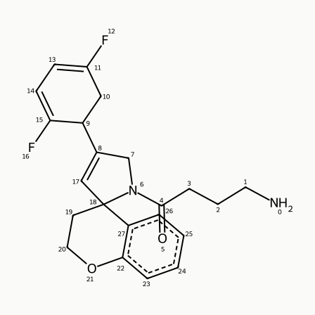 NCCCC(=O)N1CC(C2CC(F)=CC=C2F)=CC12CCOc1ccccc12